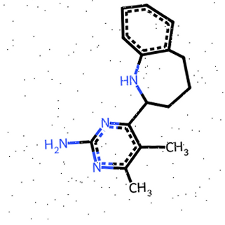 Cc1nc(N)nc(C2CCCc3ccccc3N2)c1C